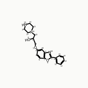 OC(COc1ccc2oc(-c3ccccc3)nc2c1)CN1CCNCC1